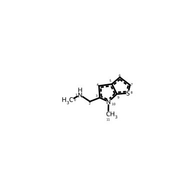 CNCc1cc2ccsc2n1C